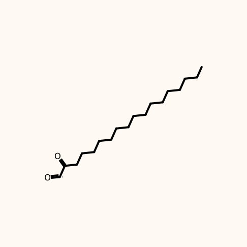 CCCCCCCCCCCCCCCCC(=O)[C]=O